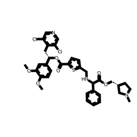 COc1ccc([C@H](Cc2c(Cl)cncc2Cl)OC(=O)c2ccc(CNC(C(=O)OC[C@@H]3CCN(C)C3)c3ccccc3)s2)cc1OC